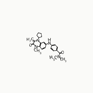 C[C@@H]1C(=O)N(C)c2ccc(Nc3ccc(C(=O)N(C)C)cc3)cc2N1C1CCCC1